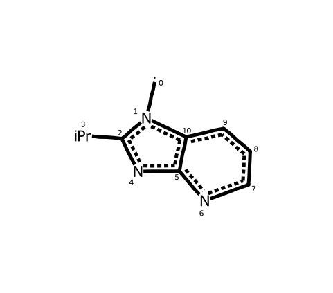 [CH2]n1c(C(C)C)nc2ncccc21